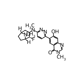 CN(c1ccc(-c2cc3c(=O)n(C)cnc3cc2O)nn1)[C@@H]1C[C@H]2CC[C@@H]([C@@H]1F)N2C